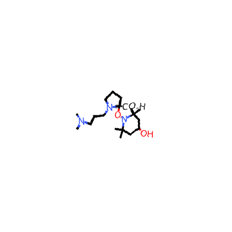 CN(C)CCCN1CCC[C@@]1(ON1C(C)(C)CC(O)CC1(C)C)C(=O)O